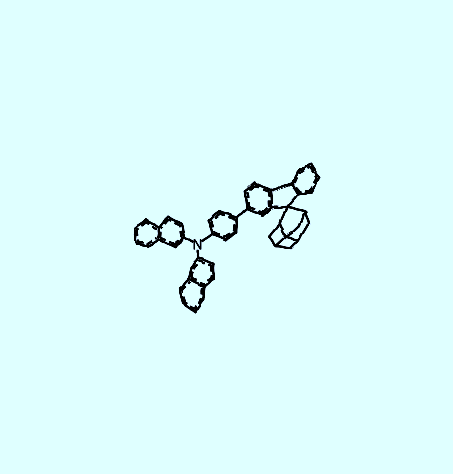 c1ccc2c(c1)-c1ccc(-c3ccc(N(c4ccc5ccccc5c4)c4ccc5ccccc5c4)cc3)cc1C21C2CC3CC(C2)CC1C3